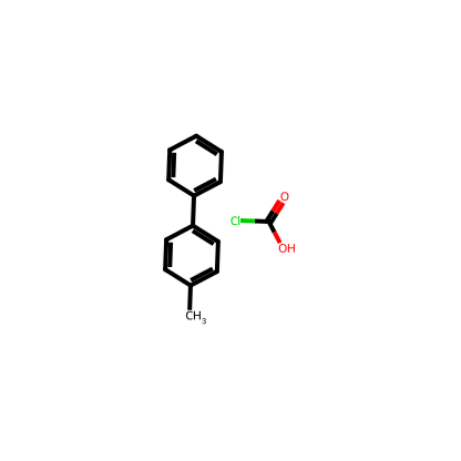 Cc1ccc(-c2ccccc2)cc1.O=C(O)Cl